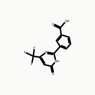 O=C(O)c1cccc(-c2nc(C(F)(F)F)cc(=O)[nH]2)c1